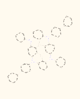 c1ccc(-c2ccc(N3c4cccc5c4B4c6c(ccc7c6B6c8c(cccc8N7c7ccc(-c8ccccc8)cc7)N(c7ccccc7)c7ccc3c4c76)N5c3ccccc3)cc2)cc1